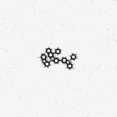 c1ccc(-c2c3ccccc3cc3c2c2cc(-c4ccc5c(c4)c4ccccc4n5-c4ccccc4)ccc2n3-c2cccc3sc4ccccc4c23)cc1